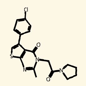 Cc1nc2scc(-c3ccc(Cl)cc3)c2c(=O)n1CC(=O)N1CCCC1